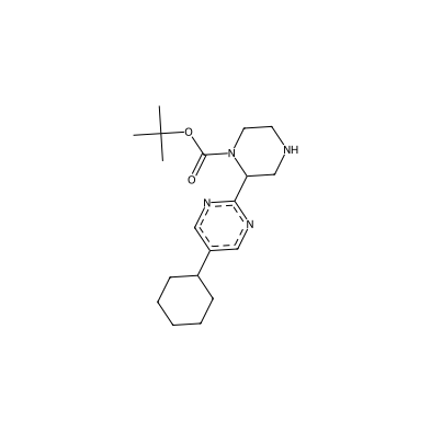 CC(C)(C)OC(=O)N1CCNCC1c1ncc(C2CCCCC2)cn1